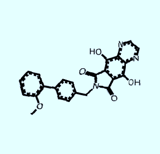 COc1ccccc1-c1ccc(CN2C(=O)c3c(c(O)c4nccnc4c3O)C2=O)cc1